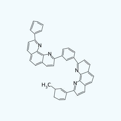 CC1C=C(c2ccc3ccc4ccc(-c5cccc(-c6ccc7ccc8ccc(-c9ccccc9)nc8c7n6)c5)nc4c3n2)C=CC1